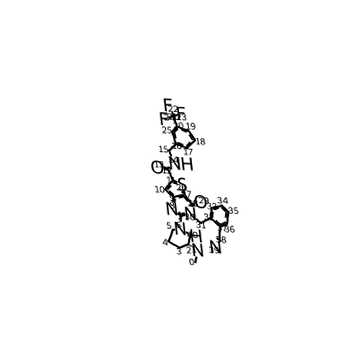 CN[C@@H]1CCCN(c2nc3cc(C(=O)NCc4cccc(C(F)(F)F)c4)sc3c(=O)n2Cc2ccccc2C#N)C1